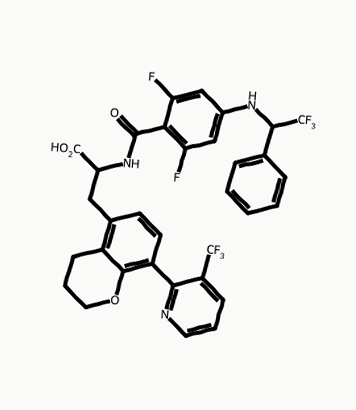 O=C(NC(Cc1ccc(-c2ncccc2C(F)(F)F)c2c1CCCO2)C(=O)O)c1c(F)cc(NC(c2ccccc2)C(F)(F)F)cc1F